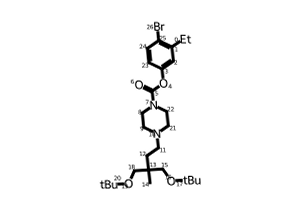 CCc1cc(OC(=O)N2CCN(CCC(C)(COC(C)(C)C)COC(C)(C)C)CC2)ccc1Br